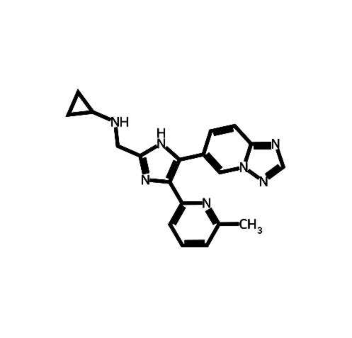 Cc1cccc(-c2nc(CNC3CC3)[nH]c2-c2ccc3ncnn3c2)n1